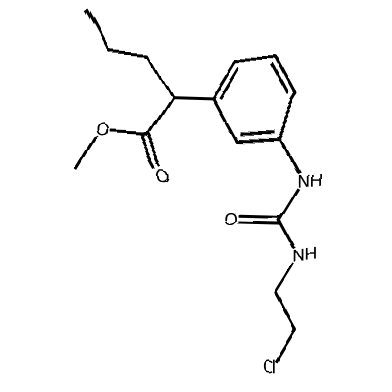 CCCC(C(=O)OC)c1cccc(NC(=O)NCCCl)c1